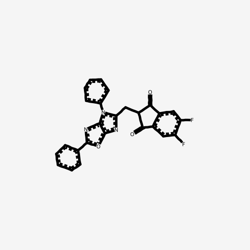 O=C1c2cc(F)c(F)cc2C(=O)C1Cc1nc2oc(-c3ccccc3)nc2n1-c1ccccc1